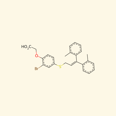 Cc1ccccc1C(=CCSc1ccc(OCC(=O)O)c(Br)c1)c1ccccc1C